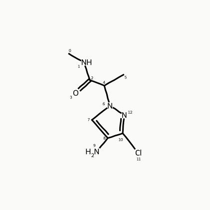 CNC(=O)C(C)n1cc(N)c(Cl)n1